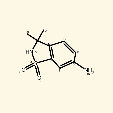 CC1(C)NS(=O)(=O)c2cc(N)ccc21